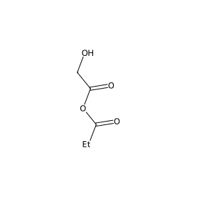 CCC(=O)OC(=O)CO